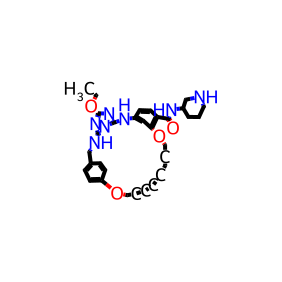 CCOc1nc2nc(n1)Nc1ccc(C(=O)NC3CCCNC3)c(c1)OCCCCCCCCOc1ccc(cc1)CN2